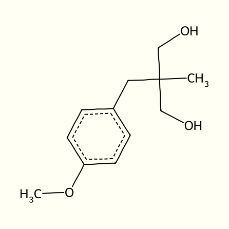 COc1ccc(CC(C)(CO)CO)cc1